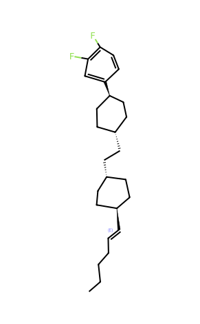 CCCC/C=C/[C@H]1CC[C@H](CC[C@H]2CC[C@H](c3ccc(F)c(F)c3)CC2)CC1